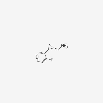 NCC1CC1c1ccccc1F